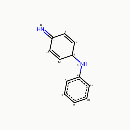 N=C1C=CC(Nc2ccccc2)C=C1